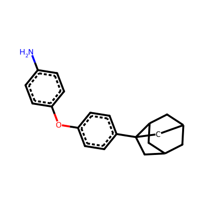 Nc1ccc(Oc2ccc(C34CC5CC(CC3C5)C4)cc2)cc1